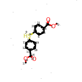 COC(=O)c1ccc([SH](C)c2ccc(C(=O)OC)cc2)cc1